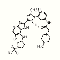 CCS(=O)(=O)N1CCC(Nc2c(Br)cnc3nc(-c4cc(C)n(-c5cc(NC(=O)CN6CCN(C)CC6)ccc5C)c4C)[nH]c23)C1